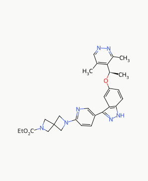 CCOC(=O)N1CC2(C1)CN(c1ccc(-c3n[nH]c4ccc(O[C@H](C)c5c(C)cnnc5C)cc34)cn1)C2